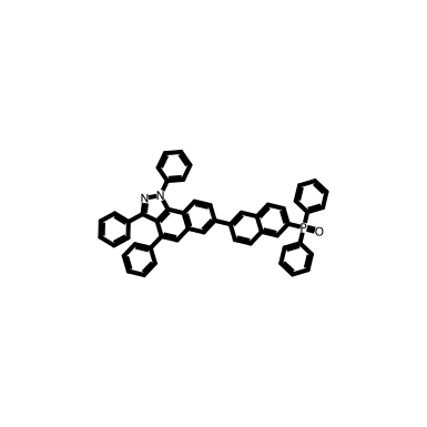 O=P(c1ccccc1)(c1ccccc1)c1ccc2cc(-c3ccc4c(c3)cc(-c3ccccc3)c3c(-c5ccccc5)nn(-c5ccccc5)c34)ccc2c1